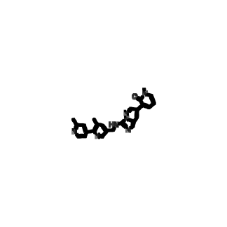 Cc1cc(-c2ncc(CNc3ncc4cc(-c5cccn(C)c5=O)cnn34)cc2C)ccn1